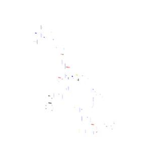 CC[C@H](NC(=O)CNC(=O)C(NC(=O)[C@H](Cc1csc2ccccc12)NC(=O)[C@H](Cc1ccc2ccccc2c1)NC(=O)CNC(=O)[C@H](CCCNC(=N)N)NC(=O)[C@@H](CCCNC(=N)N)NC(=O)[C@H](CS)NC(C)=O)C(C)(C)S)C(=O)NCC(=O)N[C@H](C(=O)O)C(C)(C)C